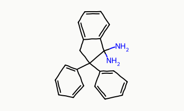 NC1(N)c2ccccc2CC1(c1ccccc1)c1ccccc1